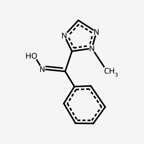 Cn1ncnc1C(=NO)c1ccccc1